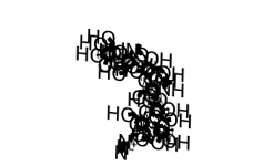 CC(=O)NC1[C@H](O[C@@H]2C(O)[C@H](O[C@@H]3C(CO)O[C@@H](O[C@@H]4C(O)[C@H](O[C@@H]5C(CO)O[C@@H](OCCN=[N+]=[N-])C(NC(C)=O)[C@H]5OC5CC(O)[C@H](O)[C@H](C)O5)OC(CO)[C@@H]4O)C(NC(C)=O)[C@H]3O)OC(CO)[C@@H]2O)OC(CO)[C@@H](O[C@@H]2OC(CO)[C@H](O)[C@H](O)C2O)[C@@H]1O